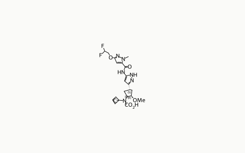 CO[C@@H]1C[C@@H](c2cc(NC(=O)c3cc(OCC(F)F)nn3C)[nH]n2)C[C@@H]1N(C(=O)O)C12CC(C1)C2